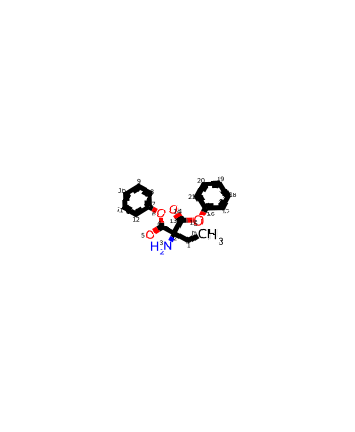 CCC(N)(C(=O)Oc1ccccc1)C(=O)Oc1ccccc1